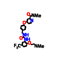 CNCCOc1ccc(C(F)(F)F)cc1NC(=O)NCc1ccc(Oc2ccnc(C(=O)NC)c2)cc1